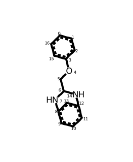 c1ccc(OCC2Nc3cccc(c3)N2)cc1